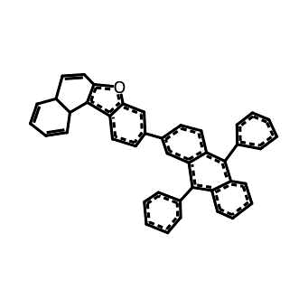 C1=CC2C=Cc3oc4cc(-c5ccc6c(-c7ccccc7)c7ccccc7c(-c7ccccc7)c6c5)ccc4c3C2C=C1